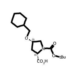 CC(C)(C)OC(=O)N1C[C@@H](OCC2CCCCC2)C[C@H]1C(=O)O